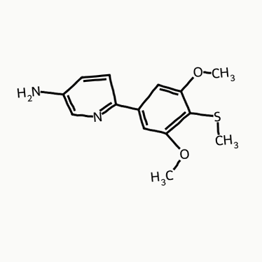 COc1cc(-c2ccc(N)cn2)cc(OC)c1SC